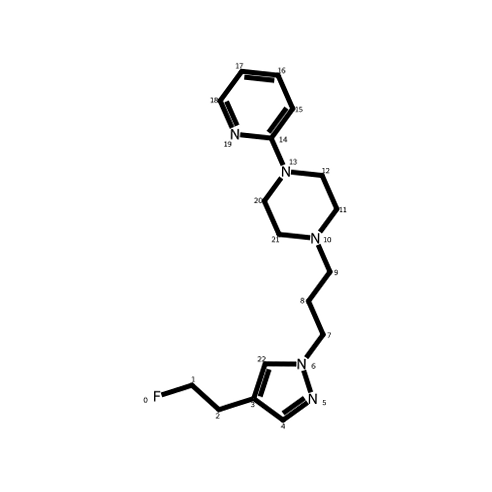 FCCc1cnn(CCCN2CCN(c3ccccn3)CC2)c1